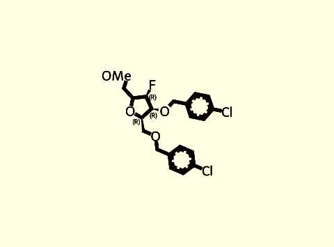 COCC1O[C@H](COCc2ccc(Cl)cc2)[C@@H](OCc2ccc(Cl)cc2)[C@@H]1F